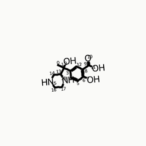 CC(O)(c1ccc(O)c(C(=O)O)c1)C1CNCCN1